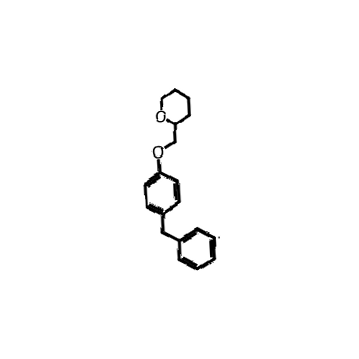 [c]1cccc(Cc2ccc(OCC3CCCCO3)cc2)c1